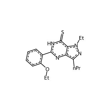 CCCc1nn(CC)c2c(=S)[nH]c(-c3ccccc3OCC)nc12